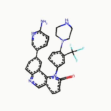 Nc1ccc(-c2ccc3ncc4ccc(=O)n(-c5ccc(N6CCNCC6)c(C(F)(F)F)c5)c4c3c2)cn1